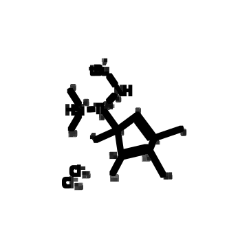 CC1=C[C](C)([Ti+2]([NH]C(C)(C)C)[SiH](C)C)C(C)=C1C.[Cl-].[Cl-]